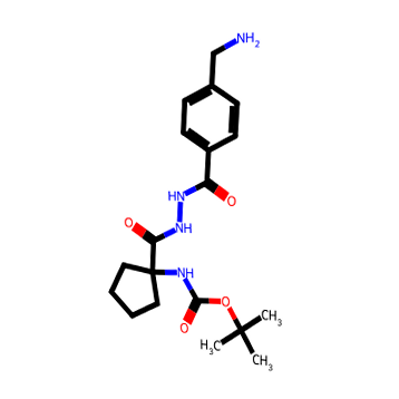 CC(C)(C)OC(=O)NC1(C(=O)NNC(=O)c2ccc(CN)cc2)CCCC1